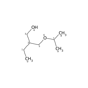 CCC(CO)COC(C)C